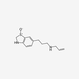 C=CCNCCCc1ccc2c(c1)[S+]([O-])CN2